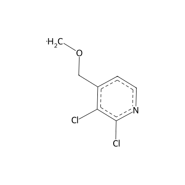 [CH2]OCc1ccnc(Cl)c1Cl